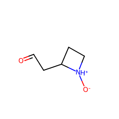 O=CCC1CC[NH+]1[O-]